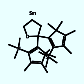 CC1=C(C)C(C)(C)C(C2(C3=C([Si](C)(C)C)C(C)=C(C)C3(C)C)CCCO2)=C1[Si](C)(C)C.[Sm]